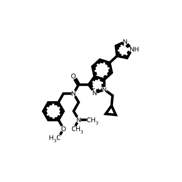 COc1cccc(CN(CCN(C)C)C(=O)c2nn(CC3CC3)c3cc(-c4cn[nH]c4)ccc23)c1